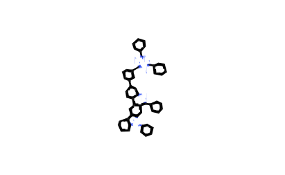 c1ccc(-c2nc(-c3ccccc3)nc(-c3cccc(-c4ccc5c(c4)nc(-c4ccccc4)c4cc6c(cc45)c4ccccc4n6-c4ccccc4)c3)n2)cc1